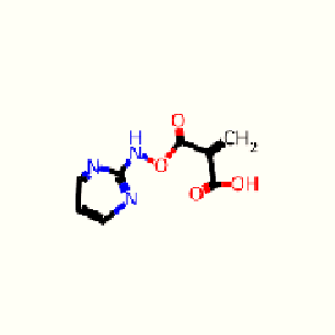 C=C(C(=O)O)C(=O)ONc1ncccn1